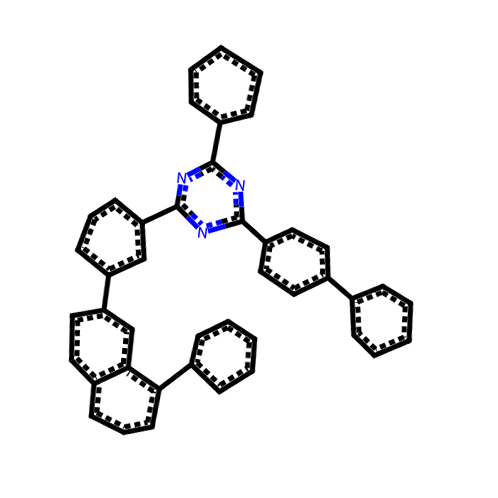 c1ccc(-c2ccc(-c3nc(-c4ccccc4)nc(-c4cccc(-c5ccc6cccc(-c7ccccc7)c6c5)c4)n3)cc2)cc1